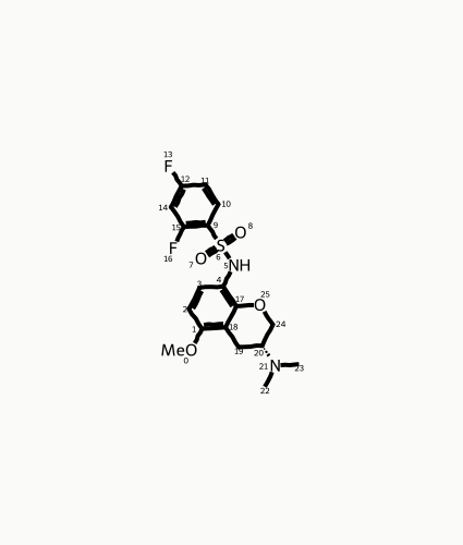 COc1ccc(NS(=O)(=O)c2ccc(F)cc2F)c2c1C[C@@H](N(C)C)CO2